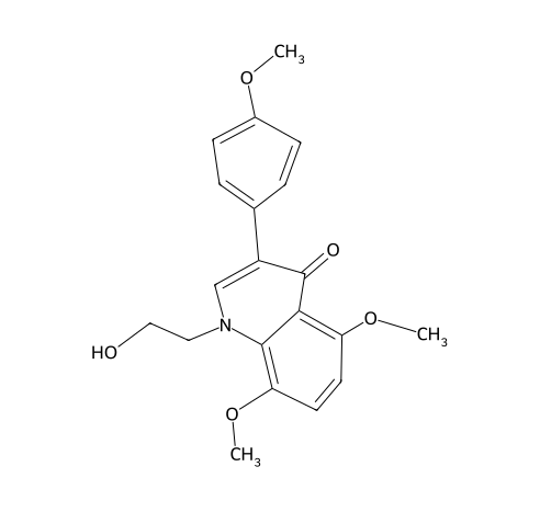 COc1ccc(-c2cn(CCO)c3c(OC)ccc(OC)c3c2=O)cc1